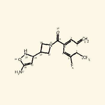 C=C/C=C(\C=C(\F)CC(F)(F)F)C(=O)N1CC(C2C=C(N)ON2)C1